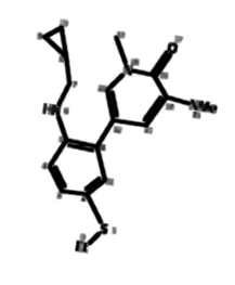 CCSc1ccc(NCC2CC2)c(-c2cc(NC)c(=O)n(C)c2)c1